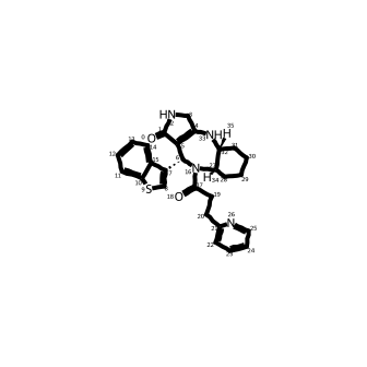 O=C1NCC2=C1[C@@H](c1csc3ccccc13)N(C(=O)CCc1ccccn1)[C@@H]1CCCC[C@H]1N2